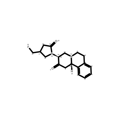 O=C1C[C@H]2c3ccccc3CCN2C[C@@H]1N1CC(CF)CC1=O